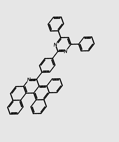 c1ccc(-c2cc(-c3ccccc3)nc(-c3ccc(-c4nc5ccc6ccccc6c5c5c6ccccc6c6ccccc6c45)cc3)n2)cc1